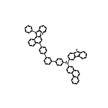 c1ccc(-c2c3c4ccccc4c(-c4ccc(-c5cccc(-c6ccc(N(c7ccc8c(ccc9ccccc98)c7)c7ccc8sc9ccccc9c8c7)cc6)c5)cc4)cc3n3ccccc23)cc1